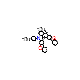 CC(C)(C)c1ccc(N2c3cc4oc5ccccc5c4cc3B3c4cc5c(cc4C(C)(C)c4cc(C(C)(C)C)cc2c43)oc2ccccc25)cc1